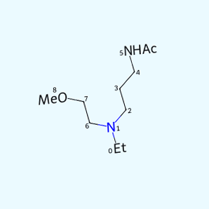 CCN(CCCNC(C)=O)CCOC